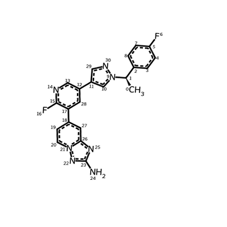 C[C@H](c1ccc(F)cc1)n1cc(-c2cnc(F)c(-c3ccn4nc(N)nc4c3)c2)cn1